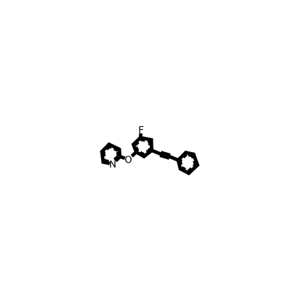 Fc1cc(C#Cc2ccccc2)cc(Oc2ccccn2)c1